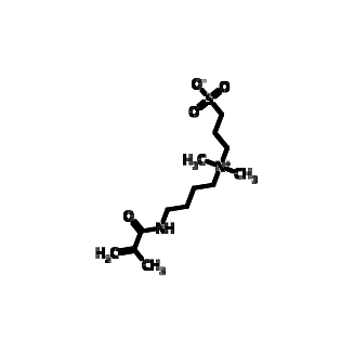 C=C(C)C(=O)NCCCC[N+](C)(C)CCCS(=O)(=O)[O-]